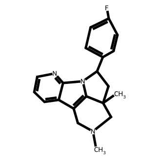 CN1Cc2c3n(c4ncccc24)C(c2ccc(F)cc2)CC3(C)C1